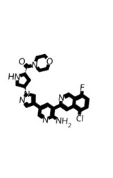 Nc1ncc(-c2cnn([C@@H]3CN[C@H](C(=O)N4CCOCC4)C3)c2)cc1-c1cc2c(Cl)ccc(F)c2cn1